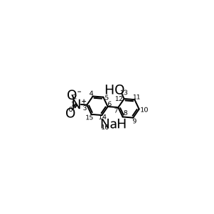 O=[N+]([O-])c1ccc(-c2ccccc2O)cc1.[NaH]